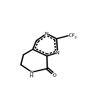 O=C1NCCc2cnc(C(F)(F)F)nc21